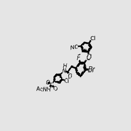 CC(=O)NS(=O)(=O)c1ccc(NC(=O)Cc2ccc(Br)c(Oc3cc(Cl)cc(C#N)c3)c2F)c(Cl)c1